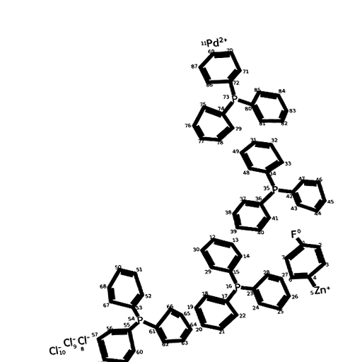 Fc1cc[c]([Zn+])cc1.[Cl-].[Cl-].[Cl-].[Pd+2].c1ccc(P(c2ccccc2)c2ccccc2)cc1.c1ccc(P(c2ccccc2)c2ccccc2)cc1.c1ccc(P(c2ccccc2)c2ccccc2)cc1.c1ccc(P(c2ccccc2)c2ccccc2)cc1